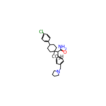 NC(=O)C(c1ccc(CN2CCCC2)cc1)C1(C(=O)O)CCC(c2ccc(Cl)cc2)CC1